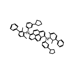 CC1=CC=C(c2ccccc2)C(C)C1N(c1cccc(C2CCCC2)c1)c1ccc2ccc3c(N(c4cccc(C5CCCC5)c4)c4c(C)ccc(-c5ccccc5)c4C)ccc4ccc1c2c43